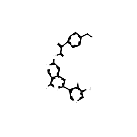 Cc1c(N)cncc1-c1cc2cc(NC(=O)C(=O)c3ccc(CC#N)cc3)ncc2c(N)n1